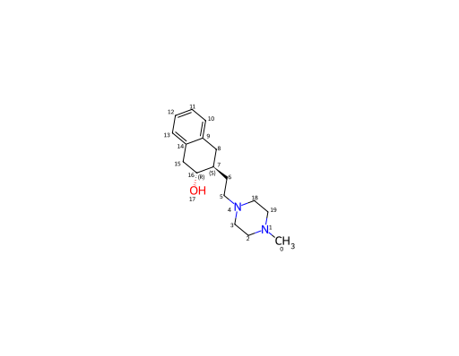 CN1CCN(CC[C@@H]2Cc3ccccc3C[C@H]2O)CC1